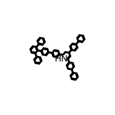 C1=CC(c2ccccc2)CC=C1C1=CC(c2ccc(-c3ccccc3)cc2)CC(c2ccc(-c3ccc(-c4c(-c5ccccc5)cccc4-c4ccccc4)cc3)cc2)N1